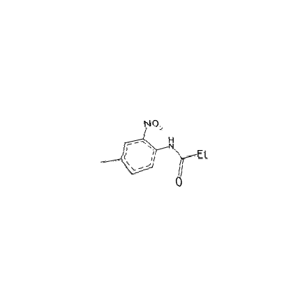 CCC(=O)Nc1ccc(C)cc1[N+](=O)[O-]